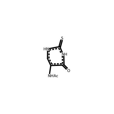 CC(=O)Nc1c[nH]c(=S)[nH]c1=O